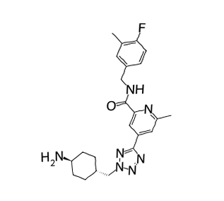 Cc1cc(-c2nnn(C[C@H]3CC[C@H](N)CC3)n2)cc(C(=O)NCc2ccc(F)c(C)c2)n1